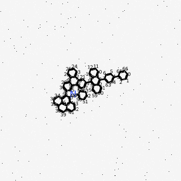 c1ccc(-c2ccc(-c3c4ccccc4c(-c4ccc5c(c4)c4ccccc4c4ccc6c7c8cccc9ccc%10cccc(c%10c98)c7n(-c7ccccc7)c6c45)c4ccccc34)cc2)cc1